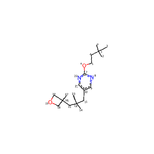 CC(C)(C)CCOc1ncc(CC(C)(C)CC2(C)COC2)cn1